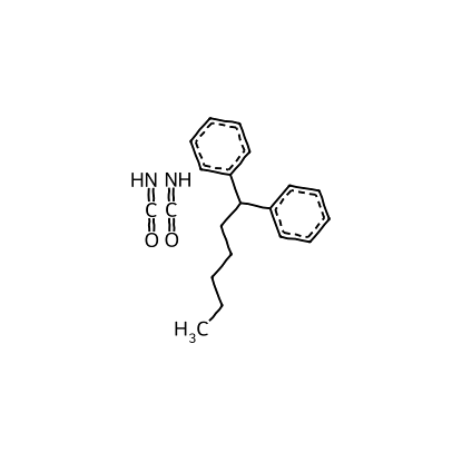 CCCCCC(c1ccccc1)c1ccccc1.N=C=O.N=C=O